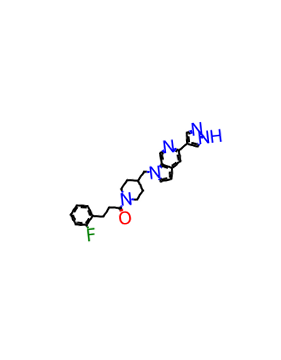 O=C(CCc1ccccc1F)N1CCC(Cn2ccc3cc(-c4cn[nH]c4)ncc32)CC1